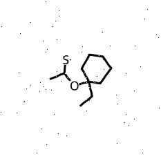 CCC1(OC(C)[S])CCCCC1